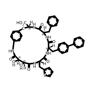 O=C1N[C@H](Cc2ccccc2)C(=O)N[C@@H](C(=O)O)Cc2ccc(cc2)NC(=O)[C@H](O)[C@@H](O)C(=O)N[C@@H](Cc2cccs2)C(=O)N[C@H]1Cc1ccc(-c2ccccc2)cc1